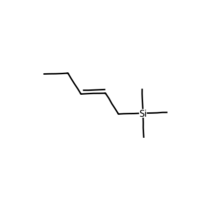 CCC=CC[Si](C)(C)C